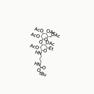 CC[C@H]1OC(NCCCNC(=O)OC(C)(C)C)[C@H](OC(C)=O)[C@@H](O[C@@H]2O[C@H](COC(C)=O)[C@@H](OC(C)=O)[C@H](OC(C)=O)[C@H]2OC(C)=O)[C@@H]1OC(C)=O